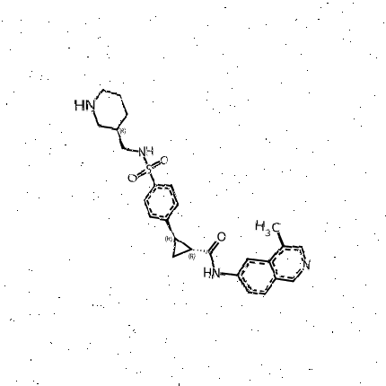 Cc1cncc2ccc(NC(=O)[C@@H]3C[C@H]3c3ccc(S(=O)(=O)NC[C@@H]4CCCNC4)cc3)cc12